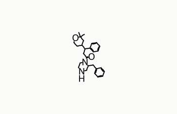 CC1(C)CC(C(CC(=O)N2CCNCC2Cc2ccccc2)c2ccccc2)CCO1